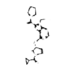 CCn1c(C(=O)N2CCCC2)nc2c(N[C@H]3CCN(C(=O)C4CC4)C3)ncnc21